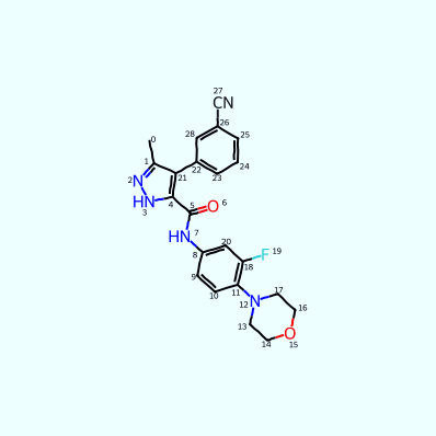 Cc1n[nH]c(C(=O)Nc2ccc(N3CCOCC3)c(F)c2)c1-c1cccc(C#N)c1